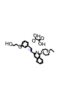 CCN1CCN(c2nc(/C=C/c3cccc(OCCO)c3)cc3ccccc23)CC1.O=C(O)C(=O)O